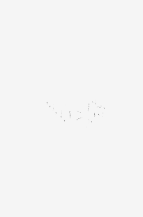 CNC(=O)Nc1nc2ccc(-c3cn(C(C)C)c4ncnc(N)c34)cc2s1